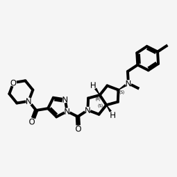 Cc1ccc(CN(C)[C@H]2C[C@@H]3CN(C(=O)n4cc(C(=O)N5CCOCC5)cn4)C[C@@H]3C2)cc1